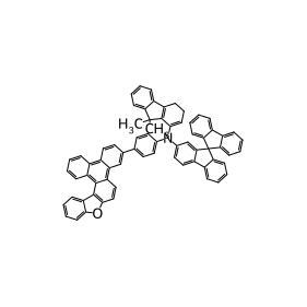 CC1(C)C2=C(CCC=C2N(c2ccc(-c3ccc4c5ccccc5c5c(ccc6oc7ccccc7c65)c4c3)cc2)c2ccc3c(c2)C2(c4ccccc4-c4ccccc42)c2ccccc2-3)c2ccccc21